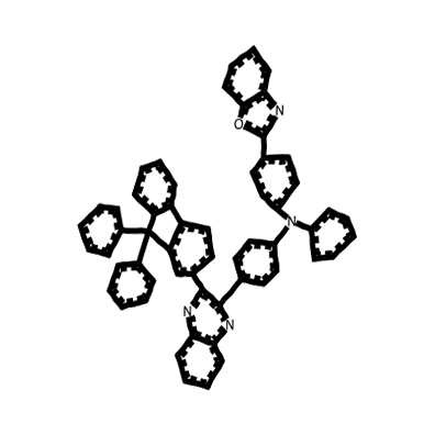 c1ccc(N(c2ccc(-c3nc4ccccc4o3)cc2)c2ccc(-c3nc4ccccc4nc3-c3ccc4c(c3)C(c3ccccc3)(c3ccccc3)c3ccccc3-4)cc2)cc1